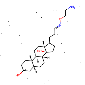 C[C@]12CC[C@H](O)C[C@H]1CC[C@@H]1[C@@H]2CC[C@]2(C)[C@@H](CC/C=N/OCCN)CC[C@]12O